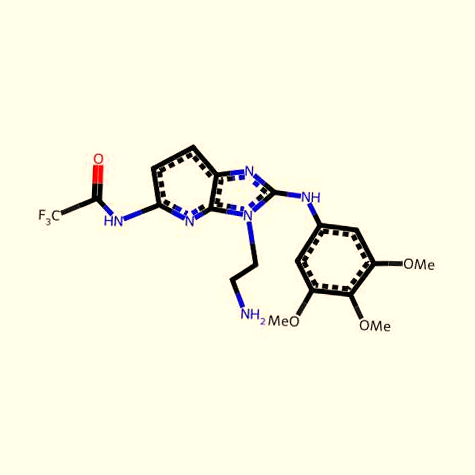 COc1cc(Nc2nc3ccc(NC(=O)C(F)(F)F)nc3n2CCN)cc(OC)c1OC